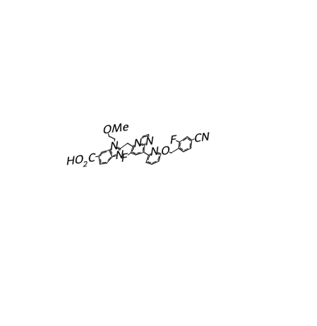 COCCn1c(Cc2c(F)cc(-c3cccc(OCc4ccc(C#N)cc4F)n3)c3nccn23)nc2ccc(C(=O)O)cc21